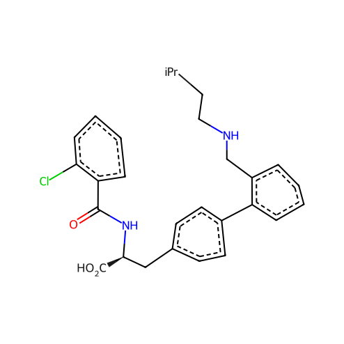 CC(C)CCNCc1ccccc1-c1ccc(C[C@H](NC(=O)c2ccccc2Cl)C(=O)O)cc1